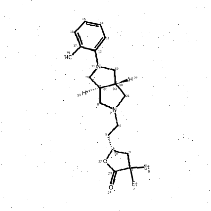 CCC1(CC)C[C@@H](CCN2C[C@H]3CN(c4ccccc4C#N)C[C@@H]3C2)OC1=O